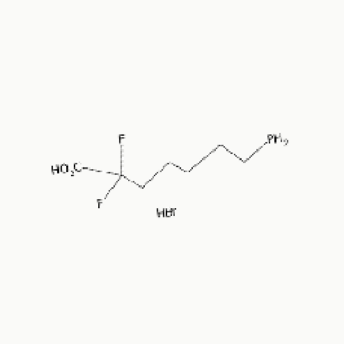 Br.O=C(O)C(F)(F)CCCCCP